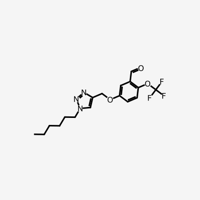 CCCCCCn1cc(COc2ccc(OC(F)(F)F)c(C=O)c2)nn1